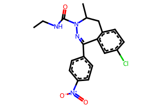 CCNC(=O)N1N=C(c2ccc([N+](=O)[O-])cc2)c2cc(Cl)ccc2CC1C